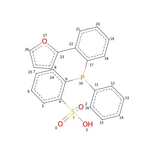 O=S(=O)(O)c1ccccc1P(c1ccccc1)c1ccccc1-c1ccco1